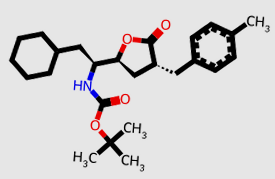 Cc1ccc(C[C@@H]2C[C@@H]([C@H](CC3CCCCC3)NC(=O)OC(C)(C)C)OC2=O)cc1